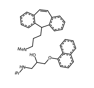 CC(C)NCC(O)COc1cccc2ccccc12.CNCCCC1c2ccccc2C=Cc2ccccc21